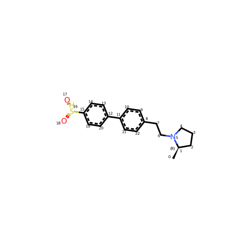 C[C@@H]1CCCN1CCc1ccc(-c2ccc([SH](=O)=O)cc2)cc1